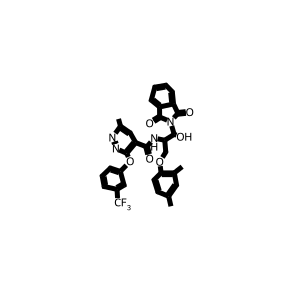 Cc1ccc(OCC(NC(=O)c2cc(C)nnc2Oc2cccc(C(F)(F)F)c2)C(O)N2C(=O)c3ccccc3C2=O)c(C)c1